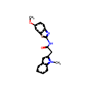 COc1ccc2nc(NC(=O)Cc3cc4ccccc4n3C)sc2c1